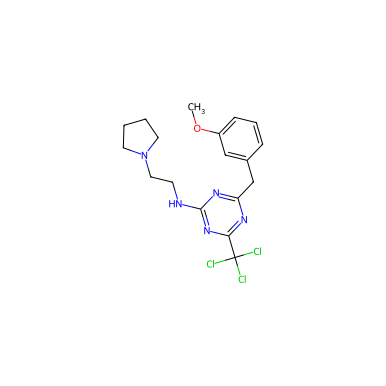 COc1cccc(Cc2nc(NCCN3CCCC3)nc(C(Cl)(Cl)Cl)n2)c1